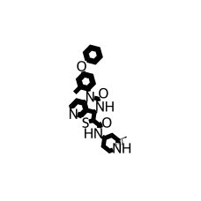 Cc1cc(Oc2ccccc2)ccc1N1C(=O)NC2c3c1ccnc3SC2C(=O)NC1CCN[C@@H](C)C1